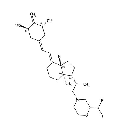 C=C1[C@H](O)CC(=CC=C2CCC[C@]3(C)[C@@H](C(C)CN4CCOC(C(F)F)C4)CC[C@@H]23)C[C@H]1O